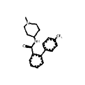 CN1CCC(NC(=O)c2ccccc2-c2ccc(C(F)(F)F)cc2)CC1